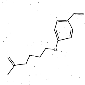 C=Cc1ccc(OCCCCC(=C)C)cc1